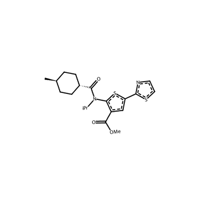 COC(=O)c1cc(-c2nccs2)sc1N(C(=O)[C@H]1CC[C@H](C)CC1)C(C)C